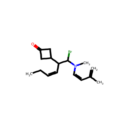 C=C(C)/C=C\N(C)C(Br)C(/C=C\CC)C1CC(=O)C1